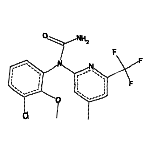 COc1c(Cl)cccc1N(C(N)=O)c1cc(C)cc(C(F)(F)F)n1